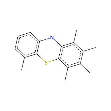 Cc1cccc2c1Sc1c(C)c(C)c(C)c(C)c1[N]2